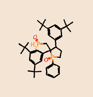 CC(C)(C)c1cc(C2CCP(=O)(c3ccccc3)C2(C[PH2]=O)c2cc(C(C)(C)C)cc(C(C)(C)C)c2)cc(C(C)(C)C)c1